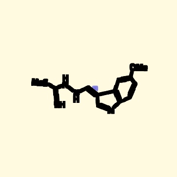 COc1ccc2c(c1)/C(=C/NNC(=N)SC)C=N2